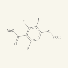 CCCCCCCCOc1cc(F)c(C(=O)OC)c(F)c1F